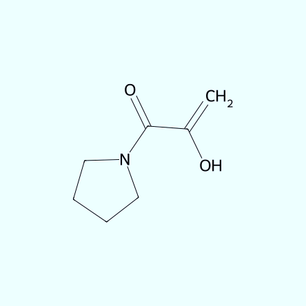 C=C(O)C(=O)N1CCCC1